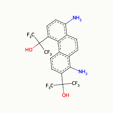 Nc1c(C(O)(C(F)(F)F)C(F)(F)F)ccc2c1ccc1c(N)ccc(C(O)(C(F)(F)F)C(F)(F)F)c12